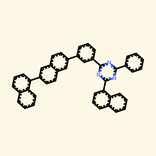 c1ccc(-c2nc(-c3cccc(-c4ccc5cc(-c6cccc7ccccc67)ccc5c4)c3)nc(-c3cccc4ccccc34)n2)cc1